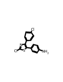 Nc1ccc(-c2sc(Cl)nc2-c2ccc(Cl)cc2)cc1